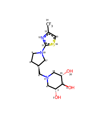 OC1[C@H](O)CN(C[C@H]2CCN(c3nc(C(F)(F)F)cs3)C2)C[C@@H]1O